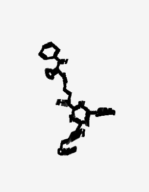 COCNc1nc(NCCSC(=O)Nc2ccccc2)nc(SC)n1